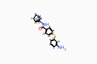 Nc1cccc(Sc2ccc(C(=O)NC3CC4CCN(CC4)C3)cc2)c1